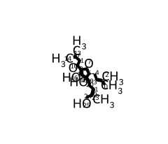 CC(C)=CC[C@H]1C(=O)C(C(=O)CC(C)C)=C(O)[C@@]1(O)CCC=C(C)CO